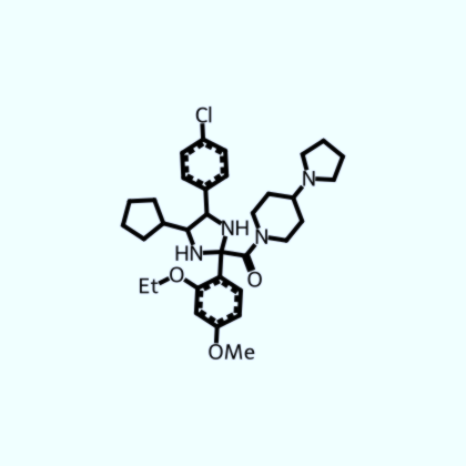 CCOc1cc(OC)ccc1C1(C(=O)N2CCC(N3CCCC3)CC2)NC(c2ccc(Cl)cc2)C(C2CCCC2)N1